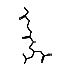 CCC(=O)OCOC(=O)NCC(CC(=O)O)CC(C)C